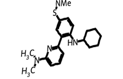 CNSc1ccc(NC2CCCCC2)c(-c2cccc(N(C)C)n2)c1